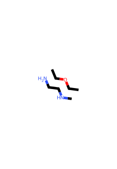 CCOCC.CNCCN